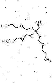 C=C[Si](OCOCCC)(OCOCCC)OCOCCC